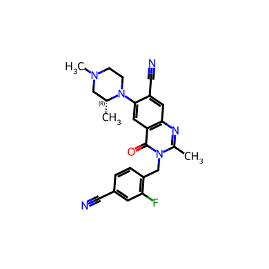 Cc1nc2cc(C#N)c(N3CCN(C)C[C@H]3C)cc2c(=O)n1Cc1ccc(C#N)cc1F